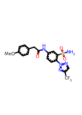 COc1ccc(CC(=O)Nc2ccc(-n3ncc(C(F)(F)F)n3)c(S(N)(=O)=O)c2)cc1